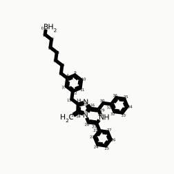 BCCCCCCCc1cccc(Cc2nc3n(c2=C)C=C(c2ccccc2)NC=3Cc2ccccc2)c1